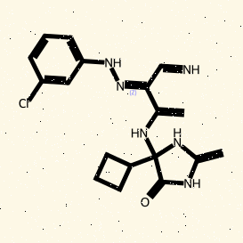 C=C1NC(=O)C(NC(=C)/C(C=N)=N/Nc2cccc(Cl)c2)(C2CCC2)N1